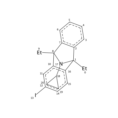 CCC12c3ccccc3C(CC)(c3cc(I)ccc31)N2C1CC1